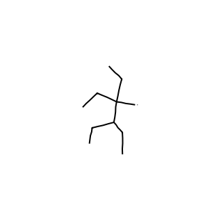 [CH2]C(CC)(CC)C(CC)CC